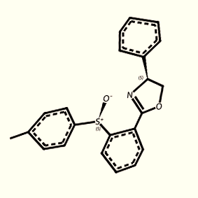 Cc1ccc([S@@+]([O-])c2ccccc2C2=N[C@@H](c3ccccc3)CO2)cc1